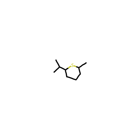 CC1CCCC(C(C)C)S1